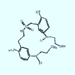 CCN(CCOC)c1ccc(N)c(CCNS(=O)(=O)Cc2cc(N(CC)CCOC)ccc2N)c1